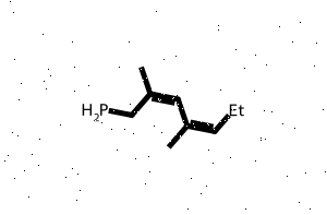 CC/C=C(C)\C=C(\C)CP